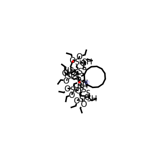 CCO[Si](CS(S)(SS)/C1=C(\S(S)(C[Si](OCC)(OCC)OCC)SS)C(S(S)(C[Si](OCC)(OCC)OCC)SS)(S(S)(C[Si](OCC)(OCC)OCC)SS)CCCCCCCCC1)(OCC)OCC